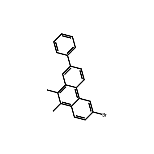 Cc1c(C)c2ccc(Br)cc2c2ccc(-c3ccccc3)cc12